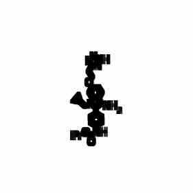 CC(C)OC(=O)Nc1ccc(-c2c(N)c3ccc(OCCc4nn[nH]n4)cc3n2CC2CC2)cc1